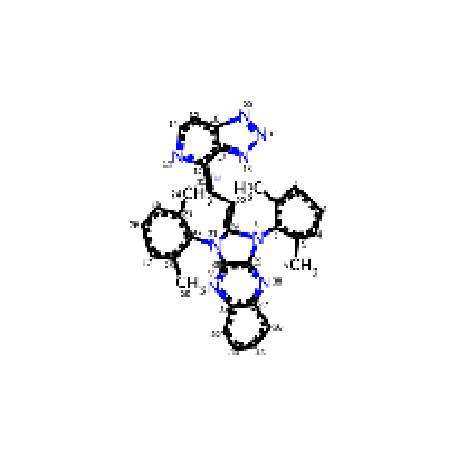 Cc1cccc(C)c1N1C(=C/C=c2/nccc3c2=NN=N3)N(c2c(C)cccc2C)c2nc3ccccc3nc21